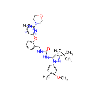 C=C(/N=C(\C=C/N)Oc1ccccc1CNC(=O)Nc1cc(C(C)(C)C)nn1-c1ccc(C)c(OC)c1)N1CCOCC1